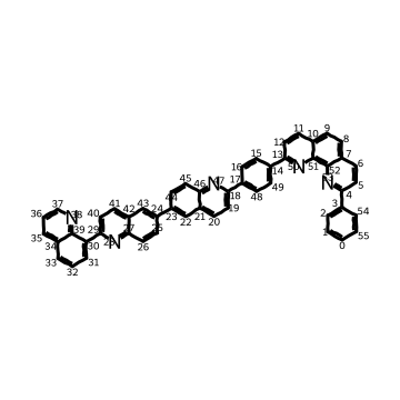 c1ccc(-c2ccc3ccc4ccc(-c5ccc(-c6ccc7cc(-c8ccc9nc(-c%10cccc%11cccnc%10%11)ccc9c8)ccc7n6)cc5)nc4c3n2)cc1